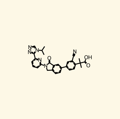 CC(C)n1cnnc1-c1cccc(N2Cc3ccc(-c4ccc(C(C)(C)C(=O)O)c(C#N)c4)cc3C2=O)n1